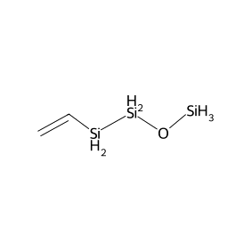 C=C[SiH2][SiH2]O[SiH3]